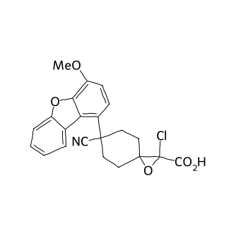 COc1ccc(C2(C#N)CCC3(CC2)OC3(Cl)C(=O)O)c2c1oc1ccccc12